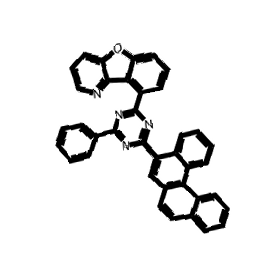 c1ccc(-c2nc(-c3cc4ccc5ccccc5c4c4ccccc34)nc(-c3cccc4oc5cccnc5c34)n2)cc1